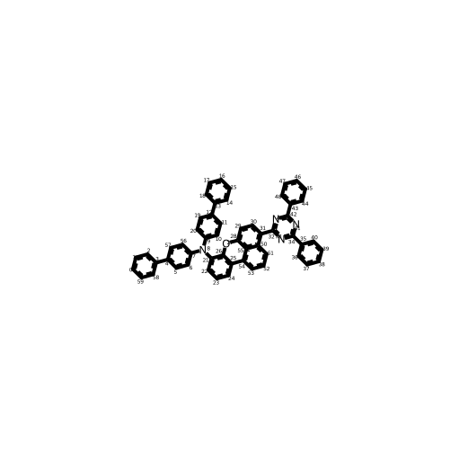 c1ccc(-c2ccc(N(c3ccc(-c4ccccc4)cc3)c3cccc4c3Oc3ccc(-c5nc(-c6ccccc6)nc(-c6ccccc6)n5)c5cccc-4c35)cc2)cc1